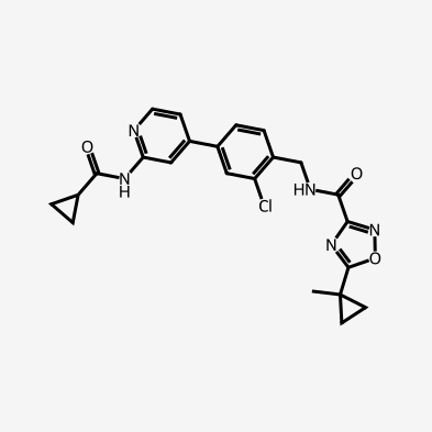 CC1(c2nc(C(=O)NCc3ccc(-c4ccnc(NC(=O)C5CC5)c4)cc3Cl)no2)CC1